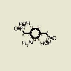 O=[PH](O)Cc1ccc(C[PH](=O)O)cc1.[AlH3]